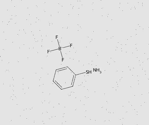 F[B-](F)(F)F.N.Sc1ccccc1